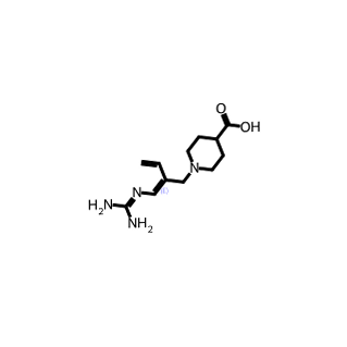 C=C/C(=C\N=C(N)N)CN1CCC(C(=O)O)CC1